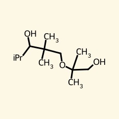 CC(C)C(O)C(C)(C)COC(C)(C)CO